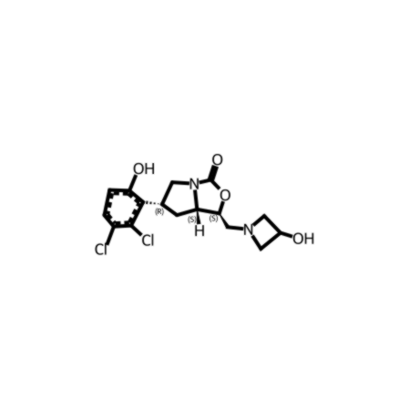 O=C1O[C@@H](CN2CC(O)C2)[C@@H]2C[C@H](c3c(O)ccc(Cl)c3Cl)CN12